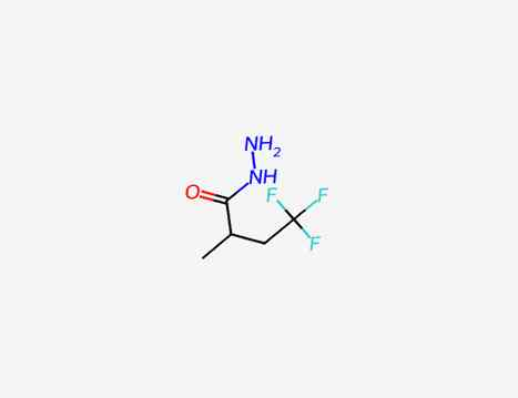 CC(CC(F)(F)F)C(=O)NN